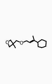 CC(=CCOCC1(C)COC1)C1CCCCC1